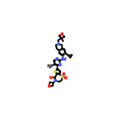 CC1(CN2CCc3cc(Nc4ncc(C(F)(F)F)c(-c5cc6c(s5)C(=O)N(C5COC5)CCS6(=O)=O)n4)c(C4CC4)cc3C2)COC1